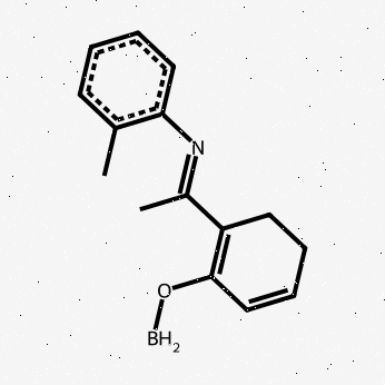 BOC1=C(/C(C)=N/c2ccccc2C)CCC=C1